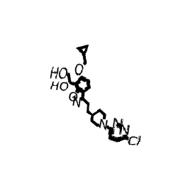 OCC(O)c1c(OCC2CC2)ccc2c(CCC3CCN(c4ccc(Cl)nn4)CC3)noc12